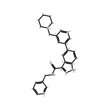 O=C(NCc1cccnc1)c1n[nH]c2ccc(-c3cncc(CN4CCCCC4)c3)cc12